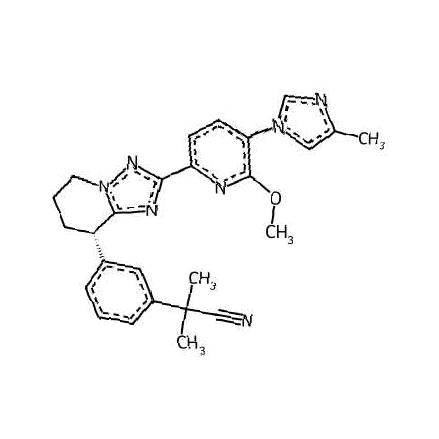 COc1nc(-c2nc3n(n2)CCC[C@H]3c2cccc(C(C)(C)C#N)c2)ccc1-n1cnc(C)c1